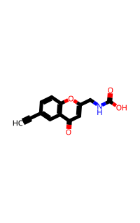 C#Cc1ccc2oc(CNC(=O)O)cc(=O)c2c1